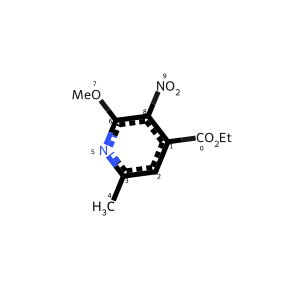 CCOC(=O)c1cc(C)nc(OC)c1[N+](=O)[O-]